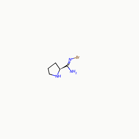 N/C(=N\Br)[C@@H]1CCCN1